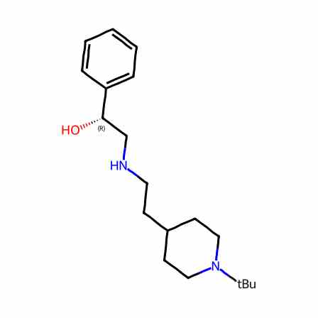 CC(C)(C)N1CCC(CCNC[C@H](O)c2ccccc2)CC1